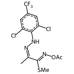 CSC(=NOC(C)=O)C(C)=NNc1c(Cl)cc(C(F)(F)F)cc1Cl